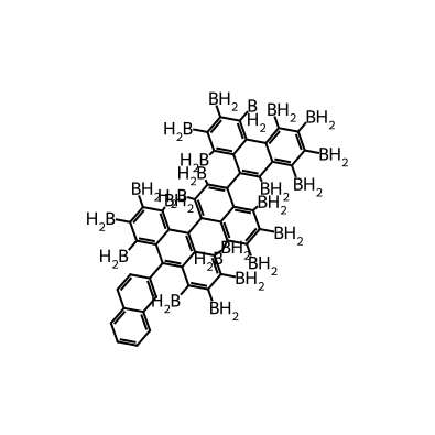 Bc1c(B)c(B)c2c(-c3c(B)c4c(B)c(B)c(B)c(B)c4c4c(B)c(B)c(B)c(B)c34)c(B)c(B)c(-c3c4c(B)c(B)c(B)c(B)c4c(-c4ccc5ccccc5c4)c4c(B)c(B)c(B)c(B)c34)c2c1B